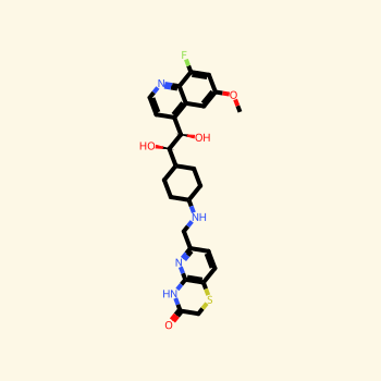 COc1cc(F)c2nccc([C@@H](O)[C@H](O)C3CCC(NCc4ccc5c(n4)NC(=O)CS5)CC3)c2c1